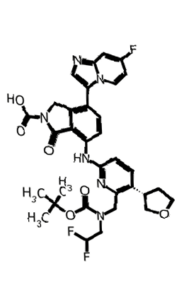 CC(C)(C)OC(=O)N(Cc1nc(Nc2ccc(-c3cnc4cc(F)ccn34)c3c2C(=O)N(C(=O)O)C3)ccc1[C@@H]1CCOC1)CC(F)F